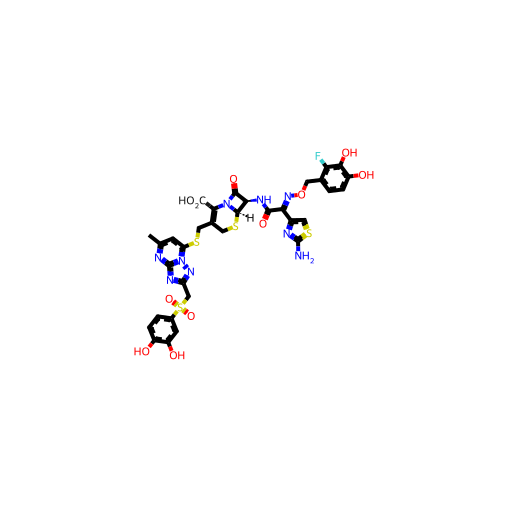 Cc1cc(SCC2=C(C(=O)O)N3C(=O)[C@@H](NC(=O)C(=NOCc4ccc(O)c(O)c4F)c4csc(N)n4)[C@H]3SC2)n2nc(CS(=O)(=O)c3ccc(O)c(O)c3)nc2n1